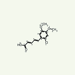 COc1cc(Cl)c(/C=C/C=C/C(=O)O)cc1OC